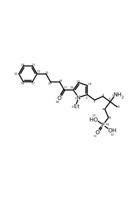 CCn1c(CCC(C)(N)CCP(=O)(O)O)ccc1C(=O)CCCc1ccccc1